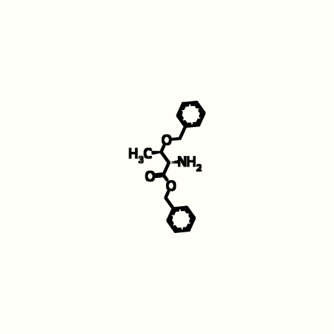 C[C@@H](OCc1ccccc1)[C@H](N)C(=O)OCc1ccccc1